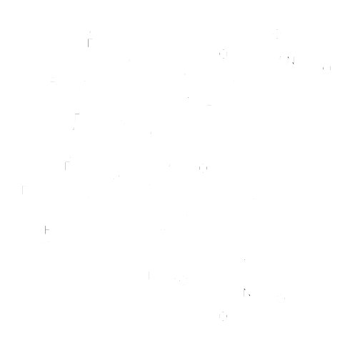 COc1c([N+](=O)[O-])ccc(Oc2ccc([N+](=O)[O-])c(OC)c2-c2ccc(C(F)(F)F)cc2I)c1-c1ccc(C(F)(F)F)cc1I